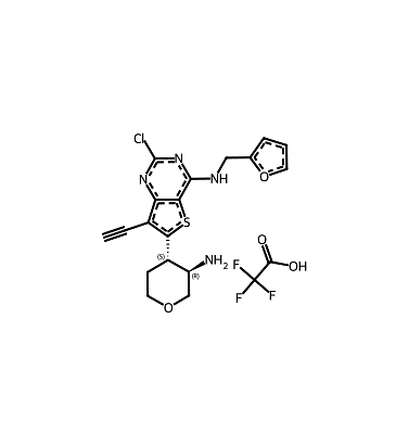 C#Cc1c([C@H]2CCOC[C@@H]2N)sc2c(NCc3ccco3)nc(Cl)nc12.O=C(O)C(F)(F)F